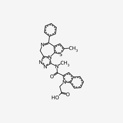 Cc1cc2c(s1)-n1c(nnc1N(C)C(=O)c1cc3ccccc3n1CC(=O)O)CN=C2c1ccccc1